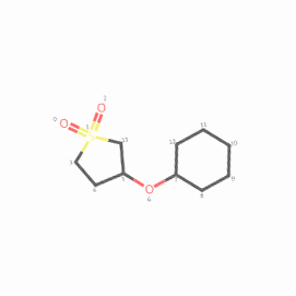 O=S1(=O)CCC(OC2CCCCC2)C1